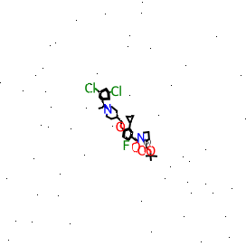 CC(c1cc(Cl)cc(Cl)c1)N1CCC(COc2cc(F)c(C(=O)N3CCC[C@H]3C(=O)OC(C)(C)C)cc2C2CC2)CC1